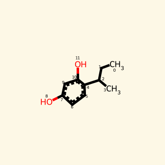 CCC(C)c1ccc(O)cc1O